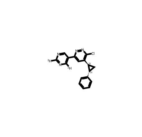 [2H]c1ncc(-c2cc([C@H]3C[C@@H]3c3ccccc3)c(Cl)nn2)c([2H])n1